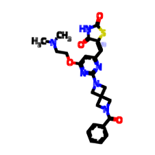 CN(C)CCOc1cc(/C=C2/SC(=O)NC2=O)nc(N2CC3(CN(C(=O)c4ccccc4)C3)C2)n1